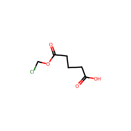 O=C(O)CCCC(=O)OCCl